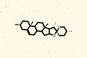 C[C@@H]1CC[C@@]2(OC1)OC1CC3C4CC=C5C[C@@H](C)CC[C@]5(C)C4CC[C@]3(C)C1[C@@H]2C